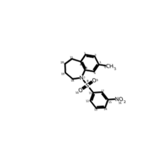 Cc1ccc2c(c1)N(S(=O)(=O)c1cccc([N+](=O)[O-])c1)CCCC2